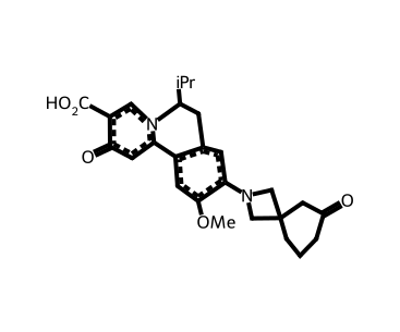 COc1cc2c(cc1N1CC3(CCCC(=O)C3)C1)CC(C(C)C)n1cc(C(=O)O)c(=O)cc1-2